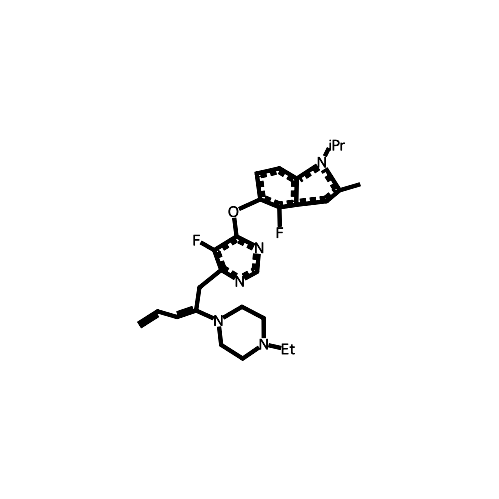 C=C/C=C(\Cc1ncnc(Oc2ccc3c(cc(C)n3C(C)C)c2F)c1F)N1CCN(CC)CC1